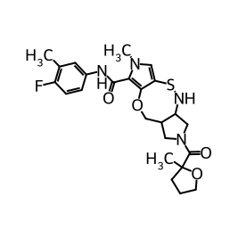 Cc1cc(NC(=O)c2c3c(cn2C)SNC2CN(C(=O)C4(C)CCCO4)CC2CO3)ccc1F